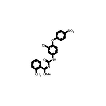 COC(=NC(=O)Nc1ccc(Oc2ccc([N+](=O)[O-])cc2)c(Cl)c1)c1ccccc1C